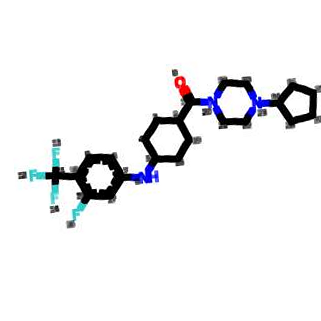 O=C(C1CCC(Nc2ccc(C(F)(F)F)c(F)c2)CC1)N1CCN(C2CCCC2)CC1